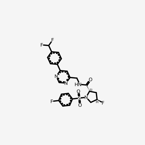 O=C(NCc1cc(-c2ccc(C(F)F)cc2)ncn1)[C@@H]1C[C@@H](F)CN1S(=O)(=O)c1ccc(F)cc1